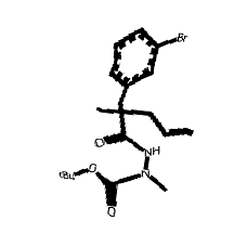 C=CCC(C)(C(=O)NN(C)C(=O)OC(C)(C)C)c1cccc(Br)c1